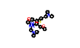 c1ccc(-n2c3ccccc3c3cc(-c4ccc5c(c4)sc4ccc(-c6ccc7oc8cccc(-c9nc(-c%10cccc(-c%11ccc%12c(c%11)oc%11ccccc%11%12)c%10)nc(-c%10cccc(-n%11c%12ccccc%12c%12ccccc%12%11)c%10)n9)c8c7c6)cc45)ccc32)cc1